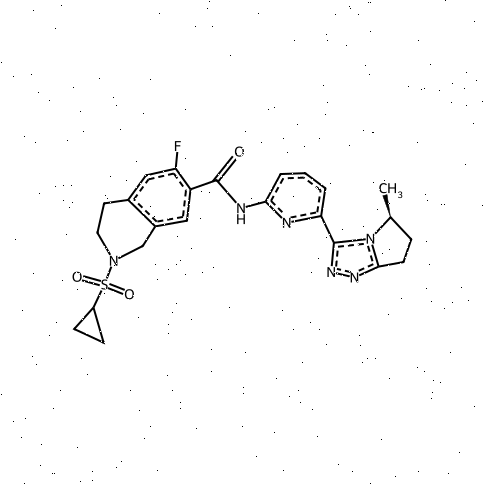 C[C@H]1CCc2nnc(-c3cccc(NC(=O)c4cc5c(cc4F)CCN(S(=O)(=O)C4CC4)C5)n3)n21